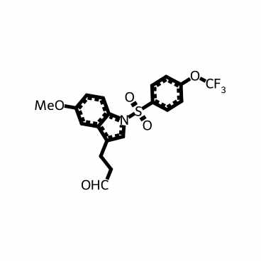 COc1ccc2c(c1)c(CCC=O)cn2S(=O)(=O)c1ccc(OC(F)(F)F)cc1